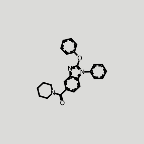 O=C(c1ccc2c(c1)nc(Oc1ccccc1)n2-c1ccccc1)N1CCCCC1